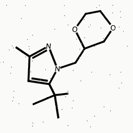 Cc1cc(C(C)(C)C)n(CC2COCCO2)n1